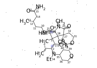 C=C/C(=C(/C)C(C)(C(=O)NCCC(C)CC(N)=O)C1(C)/C(=C\CC)N(C)C(=O)C12CCOCC2)N(CC)C1CCOCC1